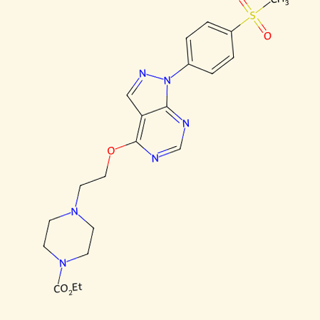 CCOC(=O)N1CCN(CCOc2ncnc3c2cnn3-c2ccc(S(C)(=O)=O)cc2)CC1